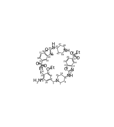 CCOc1cc(CN2CCC(Nc3nc4cc(S(=O)(=O)CC)ccc4o3)CC2)cc(N)c1I.CCS(=O)(=O)c1ccc2oc(NC3CCNCC3)nc2c1